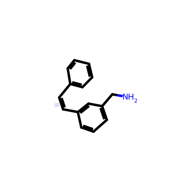 NCc1cccc(/C=C\c2ccccc2)c1